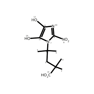 CC(C)(CC(C)(C)n1c([N+](=O)[O-])nc(O)c1O)C(=O)O